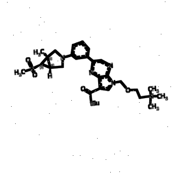 CC(C)(C)C(=O)c1cn(COCC[Si](C)(C)C)c2ncc(-c3cccc(N4C[C@@H]5[C@@H](S(C)(=O)=O)[C@]5(C)C4)c3)nc12